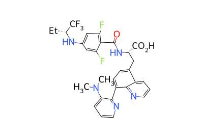 CC[C@@H](Nc1cc(F)c(C(=O)N[C@@H](Cc2ccc(-c3ncccc3N(C)C)c3ncccc23)C(=O)O)c(F)c1)C(F)(F)F